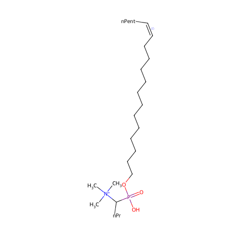 CCCCC/C=C\CCCCCCCCCCCCOP(=O)(O)C(CCC)[N+](C)(C)C